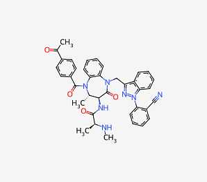 CN[C@@H](C)C(=O)N[C@@H]1C(=O)N(Cc2nn(-c3ccccc3C#N)c3ccccc23)c2ccccc2N(C(=O)c2ccc(C(C)=O)cc2)[C@H]1C